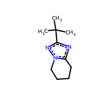 CC(C)(C)c1nc2n(n1)CCCC2